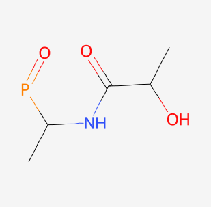 CC(NC(=O)C(C)O)P=O